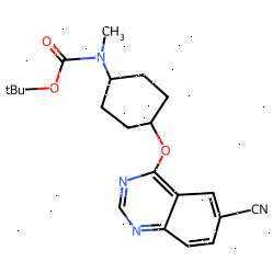 CN(C(=O)OC(C)(C)C)C1CCC(Oc2ncnc3ccc(C#N)cc23)CC1